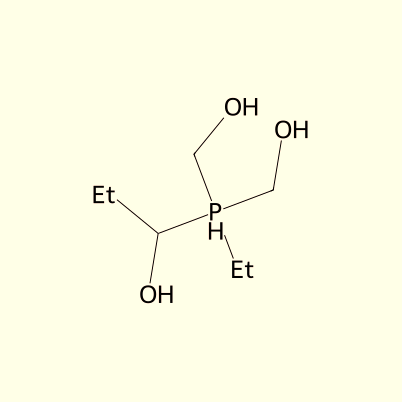 CCC(O)[PH](CC)(CO)CO